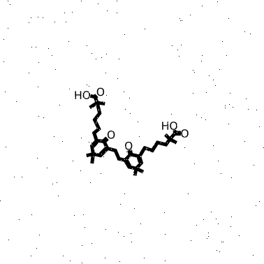 CC1(C)C=C(CCCCC(C)(C)C(=O)O)C(=O)C(CCC2=CC(C)(C)C=C(CCCCC(C)(C)C(=O)O)C2=O)=C1